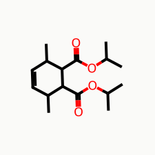 CC(C)OC(=O)C1C(C)C=CC(C)C1C(=O)OC(C)C